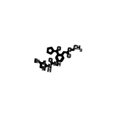 CCOC(=O)Cc1ccc(NC(=O)Nc2ncc(Br)s2)cc1C(=O)C1CCCC1